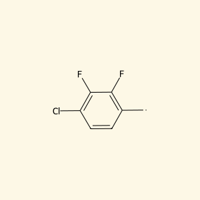 [CH2]c1ccc(Cl)c(F)c1F